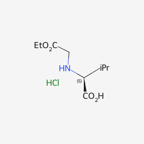 CCOC(=O)CN[C@H](C(=O)O)C(C)C.Cl